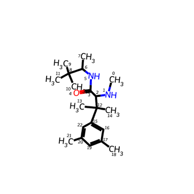 CNC(C(=O)NC(C)C(C)(C)C)C(C)(C)c1cc(C)cc(C)c1